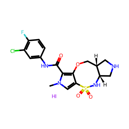 Cn1cc2c(c1C(=O)Nc1ccc(F)c(Cl)c1)OC[C@@H]1CNC[C@@H]1NS2(=O)=O.I